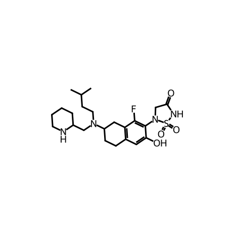 CC(C)CCN(CC1CCCCN1)C1CCc2cc(O)c(N3CC(=O)NS3(=O)=O)c(F)c2C1